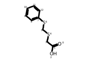 O=C(O)CSCSc1ccccc1